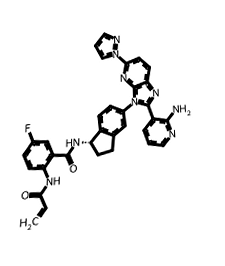 C=CC(=O)Nc1ccc(F)cc1C(=O)N[C@H]1CCc2cc(-n3c(-c4cccnc4N)nc4ccc(-n5cccn5)nc43)ccc21